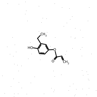 C=CC(=O)Oc1ccc(O)c(CC)c1